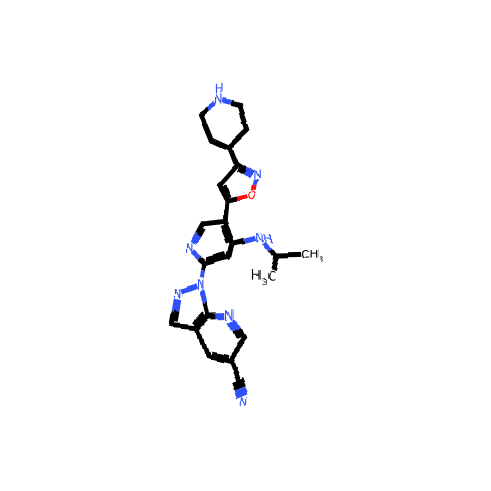 CC(C)Nc1cc(-n2ncc3cc(C#N)cnc32)ncc1-c1cc(C2CCNCC2)no1